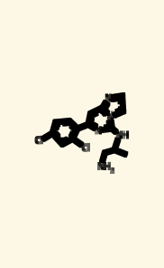 CC(CN)Nc1nc(-c2ccc(Cl)cc2Cl)cc2nccn12